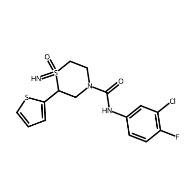 N=S1(=O)CCN(C(=O)Nc2ccc(F)c(Cl)c2)CC1c1cccs1